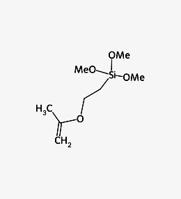 C=C(C)OCC[Si](OC)(OC)OC